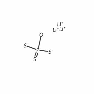 [Li+].[Li+].[Li+].[O-]P(=S)([S-])[S-]